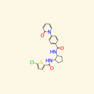 O=C(NC1CCCC1NC(=O)c1ccc(Cl)s1)c1ccc(-n2ccccc2=O)cc1